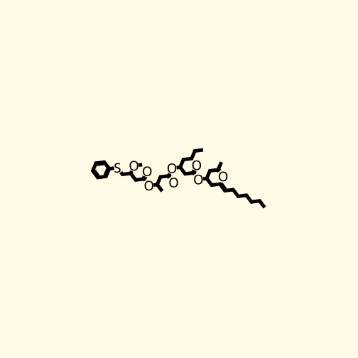 CCCCCCC=CCC(CC(C)=O)OC(=O)CC(CCCC)OC(=O)CC(C)OC(=O)CC(CSc1ccccc1)OC